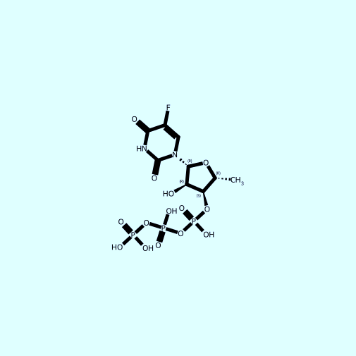 C[C@H]1O[C@@H](n2cc(F)c(=O)[nH]c2=O)[C@H](O)[C@@H]1OP(=O)(O)OP(=O)(O)OP(=O)(O)O